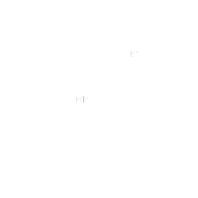 C=C(CC)CBC(C)(C)C(=C)C